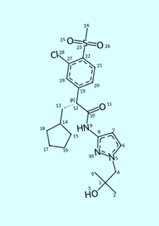 CC(C)(O)Cn1ccc(NC(=O)[C@H](CC2CCCC2)c2ccc(S(C)(=O)=O)c(Cl)c2)n1